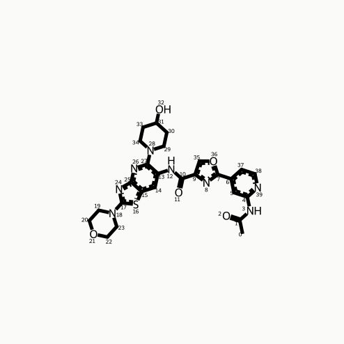 CC(=O)Nc1cc(-c2nc(C(=O)Nc3cc4sc(N5CCOCC5)nc4nc3N3CCC(O)CC3)co2)ccn1